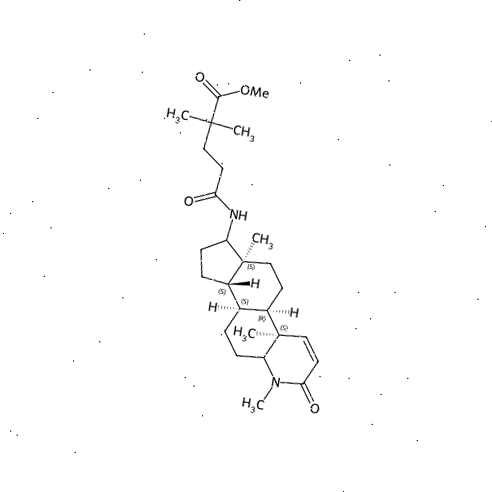 COC(=O)C(C)(C)CCC(=O)NC1CC[C@H]2[C@@H]3CCC4N(C)C(=O)C=C[C@]4(C)[C@@H]3CC[C@]12C